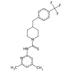 Cc1cc(C)nc(NC(=S)N2CCC(Cc3ccc(C(F)(F)F)cc3)CC2)c1